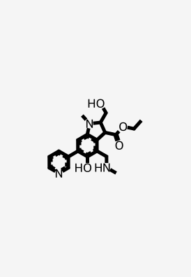 CCOC(=O)C1c2c(cc(-c3cccnc3)c(O)c2CNC)N(C)C1CO